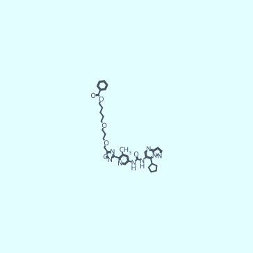 Cc1cc(NC(=O)Nc2cnc3ccnn3c2C2CCCC2)cnc1-c1noc(COCCCOCCCCCOC(=O)c2ccccc2)n1